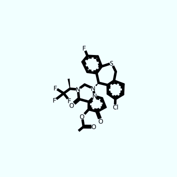 CC(=O)Oc1c2n(ccc1=O)N([C@H]1c3cc(Cl)ccc3CSc3cc(F)ccc31)CN([C@H](C)C(F)(F)F)C2=O